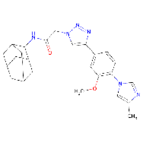 COc1cc(-c2cn(CC(=O)NC3C4CC5CC(C4)CC3C5)nn2)ccc1-n1cnc(C)c1